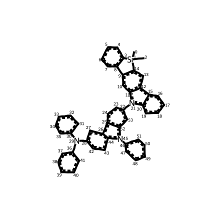 C[Si]1(C)c2ccccc2-c2cc3c(cc21)c1ccccc1n3-c1ccc2c3cc(N(c4ccccc4)c4ccccc4)ccc3n(-c3ccccc3)c2c1